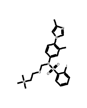 Cc1cn(-c2ccc(N(COCC[Si](C)(C)C)S(=O)(=O)c3ccccc3I)cc2C)cn1